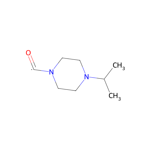 CC(C)N1CCN([C]=O)CC1